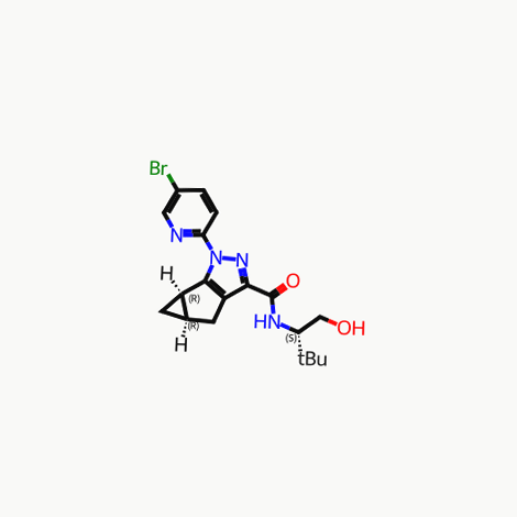 CC(C)(C)[C@@H](CO)NC(=O)c1nn(-c2ccc(Br)cn2)c2c1C[C@H]1C[C@@H]21